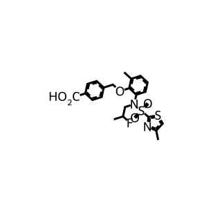 Cc1csc(S(=O)(=O)N(CC(C)F)c2cccc(C)c2OCc2ccc(C(=O)O)cc2)n1